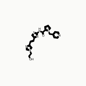 O=C(Nc1nc(C=Cc2cn(CCO)cn2)cs1)c1cccn1Cc1ccncc1